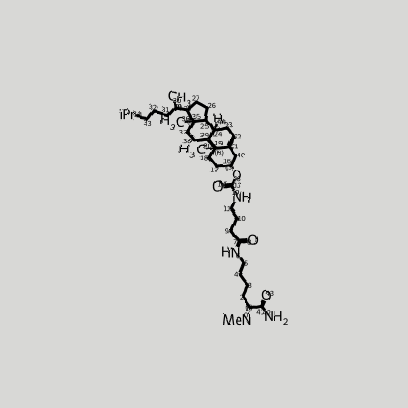 CN[C@H](CCCCNC(=O)CCCNC(=O)O[C@H]1CC[C@@]2(C)C(=CC[C@H]3C4CCC([C@H](C)CCCC(C)C)[C@@]4(C)CCC32)C1)C(N)=O